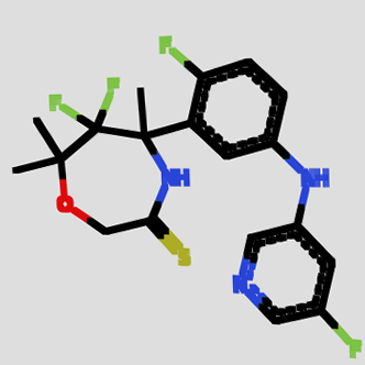 CC1(C)OCC(=S)NC(C)(c2cc(Nc3cncc(F)c3)ccc2F)C1(F)F